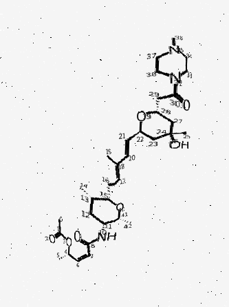 CC(=O)O[C@@H](C)/C=C\C(=O)N[C@@H]1C[C@H](C)[C@H](C/C=C(C)/C=C/[C@@H]2C[C@@](C)(O)C[C@@H](CC(=O)N3CCN(C)CC3)O2)O[C@@H]1C